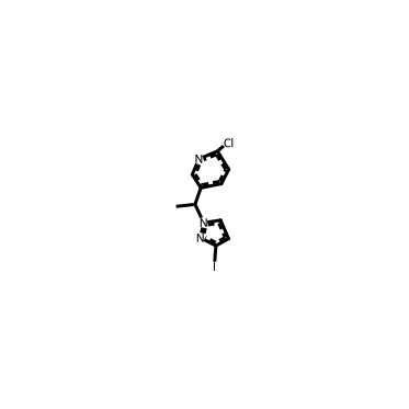 CC(c1ccc(Cl)nc1)n1ccc(I)n1